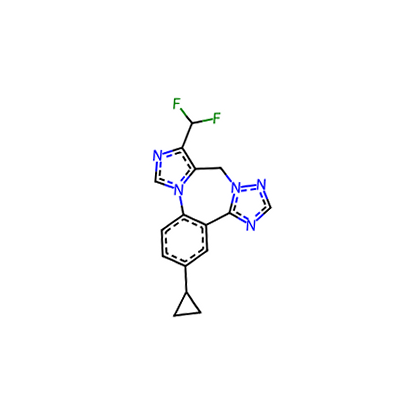 FC(F)c1ncn2c1Cn1ncnc1-c1cc(C3CC3)ccc1-2